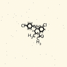 CC(=O)N1c2ccc(Cl)cc2[C@@H](Nc2ccc(Cl)cc2)C[C@H]1C